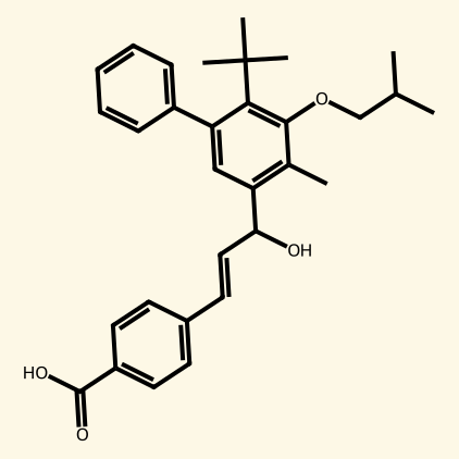 Cc1c(C(O)C=Cc2ccc(C(=O)O)cc2)cc(-c2ccccc2)c(C(C)(C)C)c1OCC(C)C